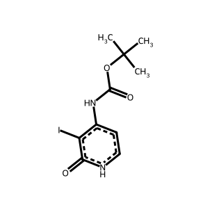 CC(C)(C)OC(=O)Nc1cc[nH]c(=O)c1I